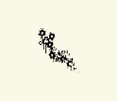 Cc1ccc(Nc2ncc3c(n2)N(C)C(=O)N(c2cc(NC(=O)c4ccc5c(c4)NC(=O)[C@H](Cc4ccccc4)N=C5c4ccccc4)ccc2C)C3)cn1